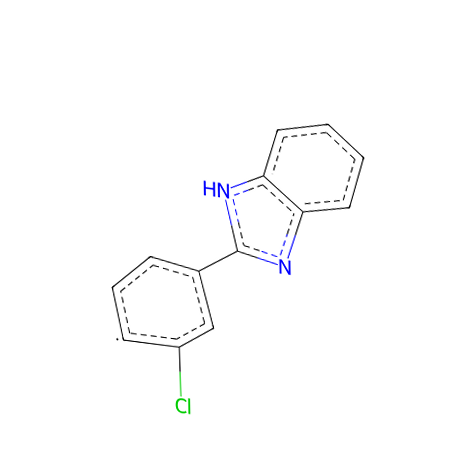 Clc1[c]ccc(-c2nc3ccccc3[nH]2)c1